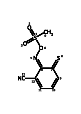 CS(=O)(=O)ON=C1C(=S)C=CC=C1C#N